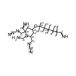 CC(C)(C=N)C(C)(C)C(C)(C)C(C)(C)C(C)(C)OC1CC(CN=[N+]=[N-])N(CN)C(C=N)(CN=[N+]=[N-])C1